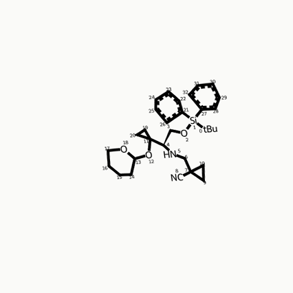 CC(C)(C)[Si](OC[C@@H](NCC1(C#N)CC1)C1(OC2CCCCO2)CC1)(c1ccccc1)c1ccccc1